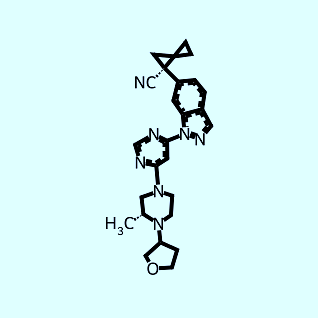 C[C@@H]1CN(c2cc(-n3ncc4ccc([C@@]5(C#N)CC56CC6)cc43)ncn2)CCN1C1CCOC1